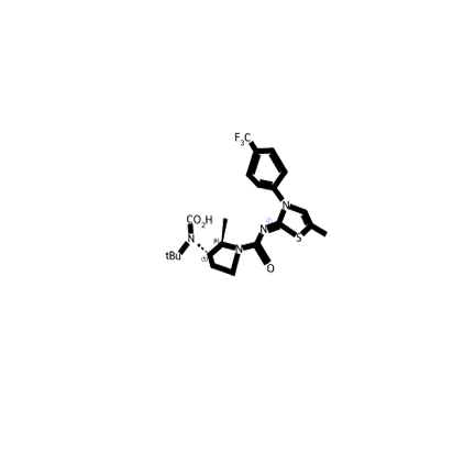 Cc1cn(-c2ccc(C(F)(F)F)cc2)/c(=N/C(=O)N2CC[C@H](N(C(=O)O)C(C)(C)C)[C@H]2C)s1